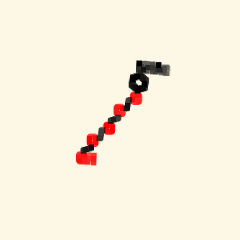 CC(=O)Nc1ccc(OCCOCCOCCOCCO)cc1